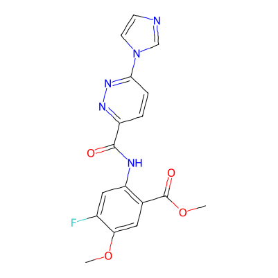 COC(=O)c1cc(OC)c(F)cc1NC(=O)c1ccc(-n2ccnc2)nn1